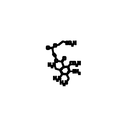 BCc1c(B)c(CB)c(C(=O)OC#CC(=O)OCCS(=O)(=O)O)c(C(=O)O)c1B